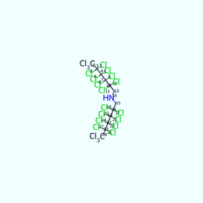 ClC(Cl)(Cl)C(Cl)(Cl)C(Cl)(Cl)C(Cl)(Cl)C(Cl)(Cl)CNCC(Cl)(Cl)C(Cl)(Cl)C(Cl)(Cl)C(Cl)(Cl)C(Cl)(Cl)Cl